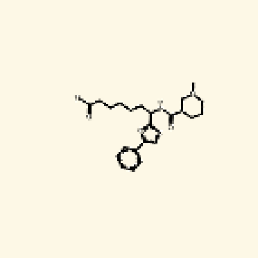 CCC(=O)CCCCCC(NC(=O)C1CCCN(C)C1)c1ncc(-c2ccccc2)o1